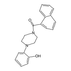 O=C(c1cccc2ccccc12)N1CCN(c2ccccc2O)CC1